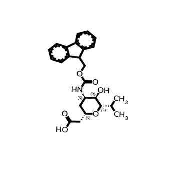 CC(C)[C@@H]1O[C@H](CC(=O)O)C[C@H](NC(=O)OCC2c3ccccc3-c3ccccc32)[C@H]1O